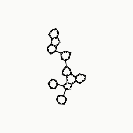 c1ccc(-c2nc3c4ccccc4c4cc(-c5cccc(-c6cccc7c6oc6ccccc67)c5)ccc4n3c2-c2ccccc2)cc1